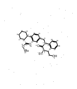 CCN(CCO)C(=O)N(Cc1ccc([C@@H]2CCCC[C@H]2C(=O)OC(C)(C)C)cc1)c1ccccc1